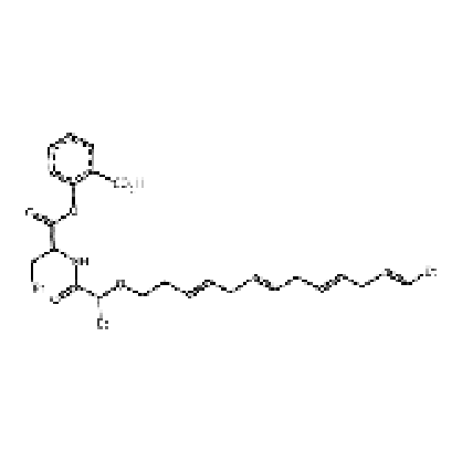 CCC=CCC=CCC=CCC=CCCOC(CC)C(=O)NC(CC(C)C)C(=O)Oc1ccccc1C(=O)O